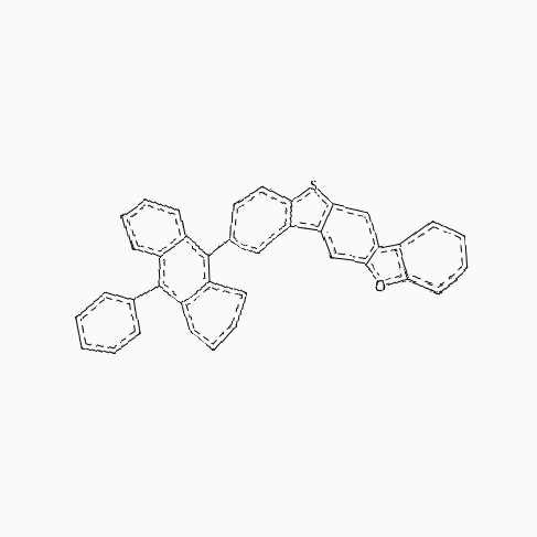 c1ccc(-c2c3ccccc3c(-c3ccc4sc5cc6c(cc5c4c3)oc3ccccc36)c3ccccc23)cc1